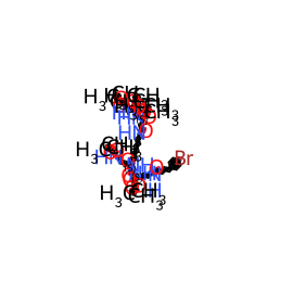 CC(C)(C)OC(=O)CC[C@H](NC(=O)N[C@@H](CCC(=O)NCCCCCCCC(=O)N[C@@H](CCCCNC(=O)OC(C)(C)C)C(=O)N[C@@H](CCCCNC(=O)CCCc1ccc(Br)cc1)C(=O)C(=O)OC(C)(C)C)C(=O)OC(C)(C)C)C(=O)OC(C)(C)C